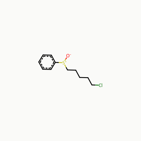 [O-][S+](CCCCCCl)c1ccccc1